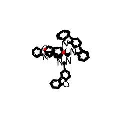 c1ccc(-c2nc(-c3ccc4oc5ccccc5c4c3)nc(-n3c4ccccc4c4ccc5c6ccccc6n(-c6cccc(-c7nc8ccccc8o7)c6)c5c43)n2)cc1